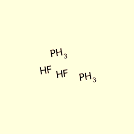 F.F.P.P